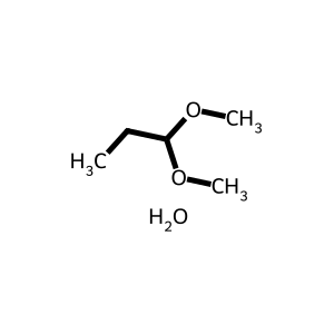 CCC(OC)OC.O